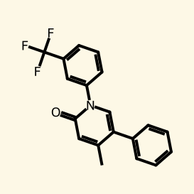 Cc1cc(=O)n(-c2cccc(C(F)(F)F)c2)cc1-c1ccccc1